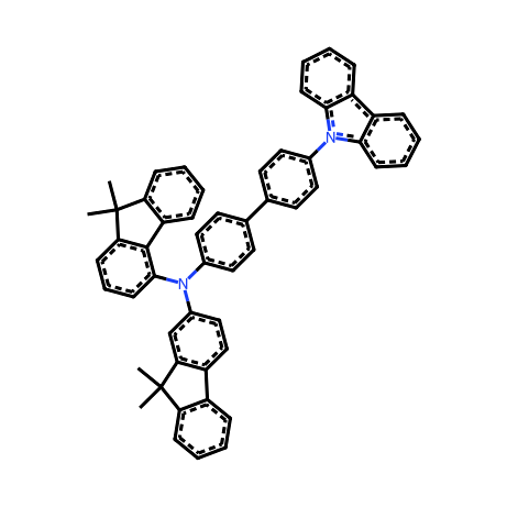 CC1(C)c2ccccc2-c2ccc(N(c3ccc(-c4ccc(-n5c6ccccc6c6ccccc65)cc4)cc3)c3cccc4c3-c3ccccc3C4(C)C)cc21